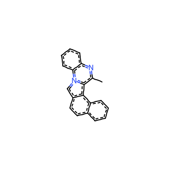 Cc1nc2ccccc2n2cc3ccc4ccccc4c3c12